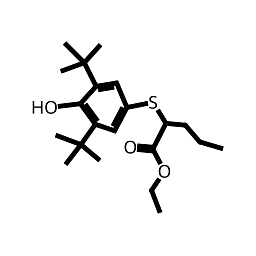 CCCC(Sc1cc(C(C)(C)C)c(O)c(C(C)(C)C)c1)C(=O)OCC